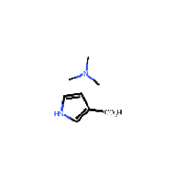 CN(C)C.O=C(O)c1cc[nH]c1